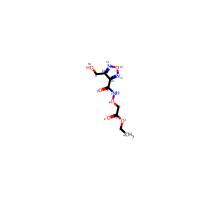 CCOC(=O)CONC(=O)c1nonc1CO